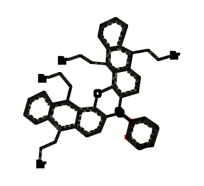 BrCCc1c2ccccc2c(CCBr)c2c(Oc3c(Oc4ccccc4)ccc4c(CCBr)c5ccccc5c(CCBr)c34)c(Oc3ccccc3)ccc12